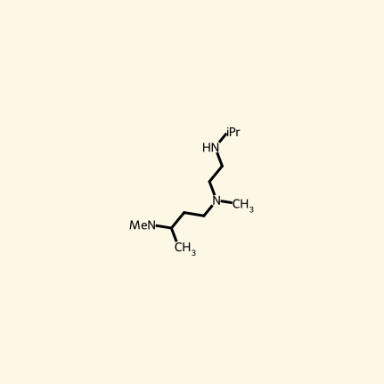 CNC(C)CCN(C)CCNC(C)C